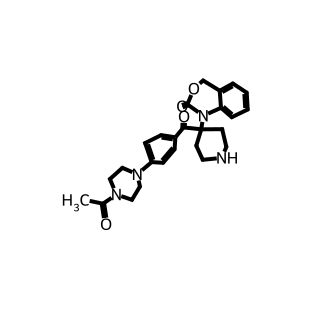 CC(=O)N1CCN(c2ccc(C(=O)C3(N4C(=O)OCc5ccccc54)CCNCC3)cc2)CC1